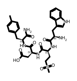 Cc1ccc(C[C@H](NC(=O)[C@H](CC(=O)O)NC(=O)[C@H](CCS(C)(=O)=O)NC(=O)[C@H](N)Cc2c[nH]c3ccccc23)C(N)=O)cc1